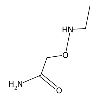 CCNOCC(N)=O